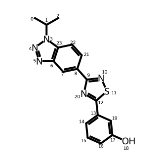 CC(C)n1nnc2cc(-c3nsc(-c4cccc(O)c4)n3)ccc21